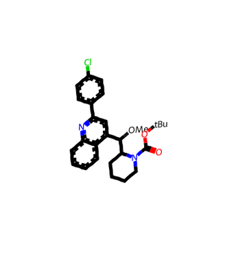 COC(c1cc(-c2ccc(Cl)cc2)nc2ccccc12)C1CCCCN1C(=O)OC(C)(C)C